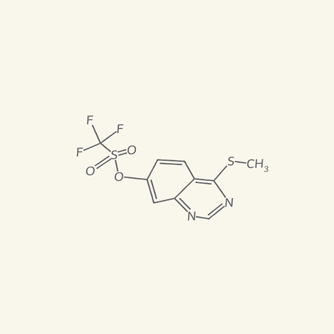 CSc1ncnc2cc(OS(=O)(=O)C(F)(F)F)ccc12